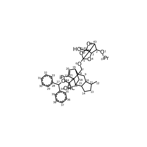 CC(C)OC1C2OC3(OCC45CC6C(C)CCC6C6(C=O)CC4C=C(C(C)C)C65C(=O)OC(c4ccccc4)c4ccccc4)OC2OC1C3O